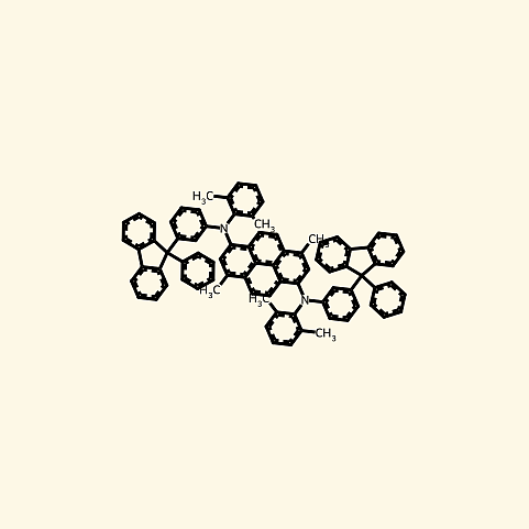 Cc1cccc(C)c1N(c1cccc(C2(c3ccccc3)c3ccccc3-c3ccccc32)c1)c1cc(C)c2ccc3c(N(c4cccc(C5(c6ccccc6)c6ccccc6-c6ccccc65)c4)c4c(C)cccc4C)cc(C)c4ccc1c2c43